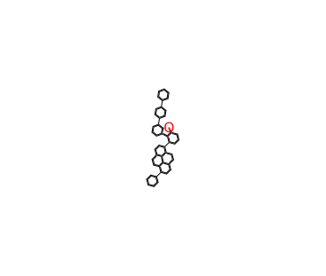 c1ccc(-c2ccc(-c3cccc4c3oc3cccc(-c5ccc6ccc7c(-c8ccccc8)ccc8ccc5c6c87)c34)cc2)cc1